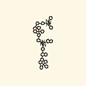 c1ccc(-c2nc(-c3ccccc3)nc(-c3ccc(-c4cccc(-c5ccc6ccc7c(c6c5)C(c5ccccc5)(c5ccccc5)c5ccc(-c6cccc(-c8nc(-c9ccc(-c%10ccc(-c%11ccc%12c%13c(ccc%12c%11)-c%11ccccc%11C%13(c%11ccccc%11)c%11ccccc%11)c%11ccccc%10%11)cc9)nc(-c9ccc%10ccccc%10c9)n8)c6)cc5-7)c4)cc3)n2)cc1